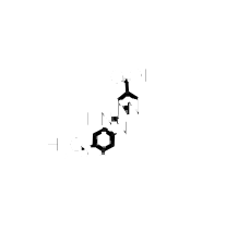 CSc1cc2[nH]c(-n3cc(C(=O)O)cn3)nc2cc1F